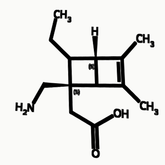 CCC1[C@@H]2C(C)=C(C)C2[C@]1(CN)CC(=O)O